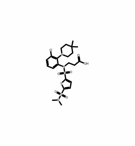 CN(C)S(=O)(=O)c1ccc(S(=O)(=O)N(CCC(=O)O)c2cccc(Cl)c2N2CCC(C)(C)CC2)s1